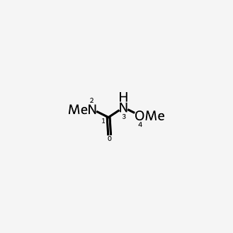 C=C(NC)NOC